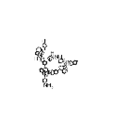 NC[C@H]1CC[C@H](CN(C[C@H]2Cc3ccccc3CN2)C2CCC(c3ccc4c(c3)CN[C@@H](CN(C[C@H]3CC[C@H](N)CC3)[C@H]3CCC(c5cc6c(c(N7CCNCC7)c5)C[C@H](CCN(CC5CCC(F)(F)CC5)[C@H]5CCCc7cccnc75)NC6)c5cccnc53)C4)c3cccnc32)CC1